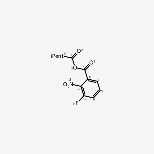 CCCC(C)C(=O)OC(=O)c1cccc(F)c1[N+](=O)[O-]